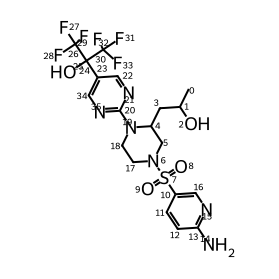 CC(O)CC1CN(S(=O)(=O)c2ccc(N)nc2)CCN1c1ncc(C(O)(C(F)(F)F)C(F)(F)F)cn1